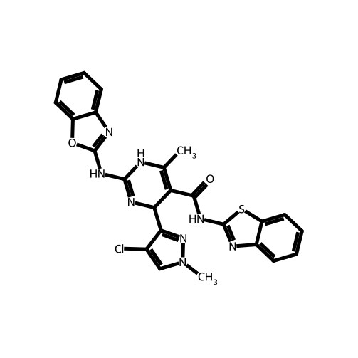 CC1=C(C(=O)Nc2nc3ccccc3s2)C(c2nn(C)cc2Cl)N=C(Nc2nc3ccccc3o2)N1